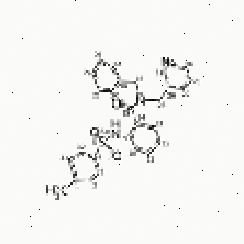 Cc1ccc(S(=O)(=O)Nc2ccccc2C(=O)N(Cc2ccccc2)Cc2cccnc2)cc1